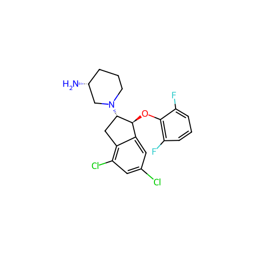 N[C@@H]1CCCN([C@H]2Cc3c(Cl)cc(Cl)cc3[C@@H]2Oc2c(F)cccc2F)C1